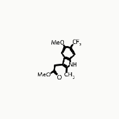 COC(=O)Cc1c(C)[nH]c2cc(C(F)(F)F)c(OC)cc12